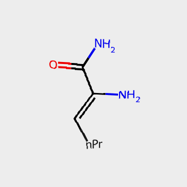 CCC/C=C(\N)C(N)=O